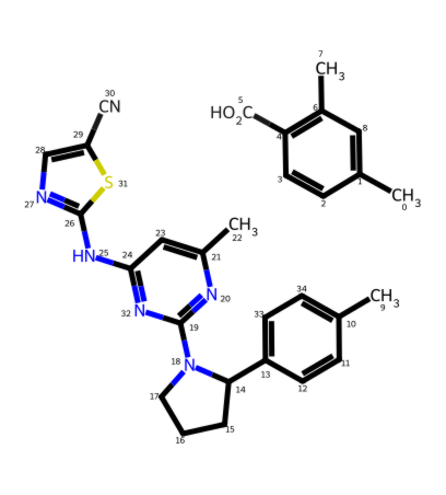 Cc1ccc(C(=O)O)c(C)c1.Cc1ccc(C2CCCN2c2nc(C)cc(Nc3ncc(C#N)s3)n2)cc1